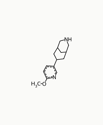 COc1ccc(C2CC3CNCC(C3)C2)cn1